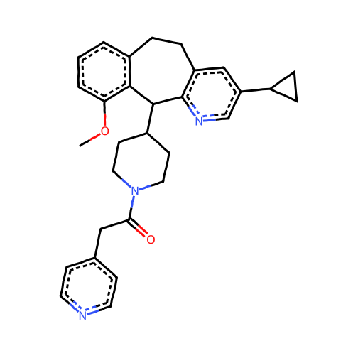 COc1cccc2c1C(C1CCN(C(=O)Cc3ccncc3)CC1)c1ncc(C3CC3)cc1CC2